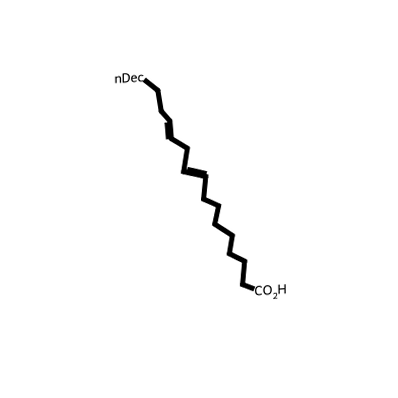 CCCCCCCCCCCCC=CCC=CCCCCCCCC(=O)O